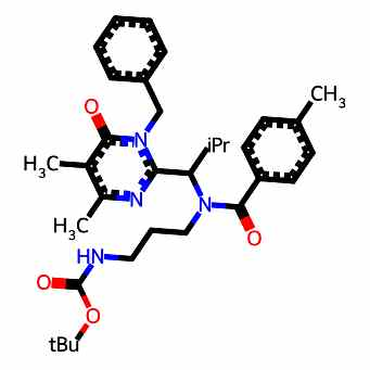 Cc1ccc(C(=O)N(CCCNC(=O)OC(C)(C)C)C(c2nc(C)c(C)c(=O)n2Cc2ccccc2)C(C)C)cc1